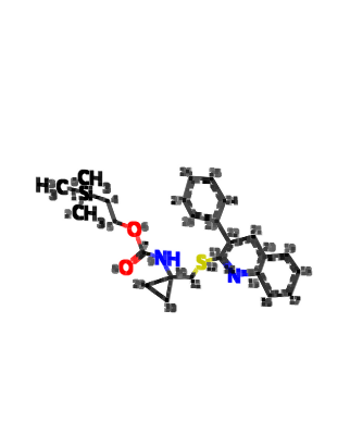 C[Si](C)(C)CCOC(=O)NC1(CSc2nc3ccccc3cc2-c2ccccc2)CC1